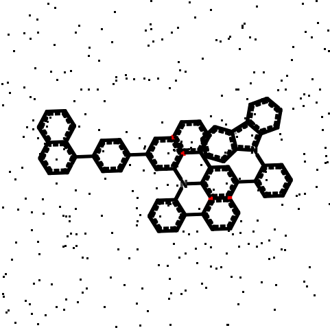 c1ccc(-c2ccccc2N(c2cccc(-c3ccc(-c4cccc5ccccc45)cc3)c2)c2ccc(-c3ccccc3-n3c4ccccc4c4ccccc43)cc2-c2ccccc2)cc1